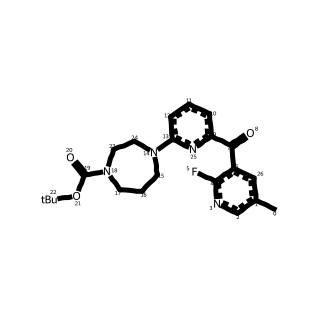 Cc1cnc(F)c(C(=O)c2cccc(N3CCCN(C(=O)OC(C)(C)C)CC3)n2)c1